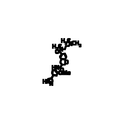 COc1cc(-c2cn[nH]c2)ccc1NC(=O)C1COc2ccc(C(=O)N(C)CCCN(C)C)cc2C1